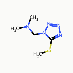 [CH2]Sc1nnnn1CN(C)C